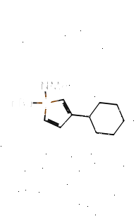 CCCCS1(NC)C=CC(C2CCCCC2)=C1